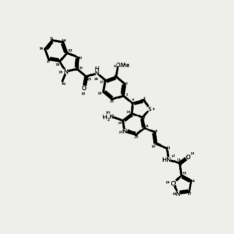 COc1cc(-c2csc3c(C=CCNC(=O)c4ccno4)cnc(N)c23)ccc1NC(=O)c1cc2ccccc2n1C